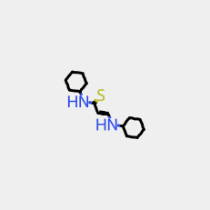 S=C(C=CNC1CCCCC1)NC1CCCCC1